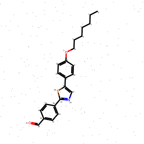 CCCCCCCOc1ccc(-c2cnc(-c3ccc(C=O)cc3)s2)cc1